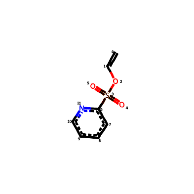 C=COS(=O)(=O)c1ccccn1